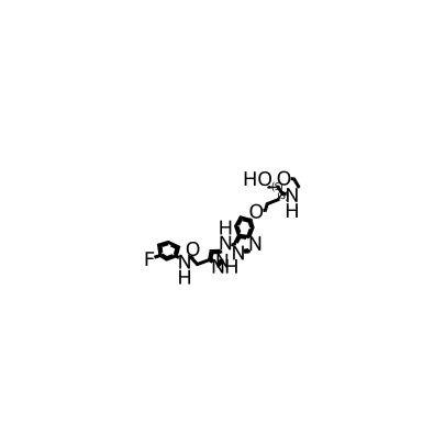 O=C(Cc1cc(Nc2ncnc3cc(OCCC[C@@H]4NCCO[C@@H]4CO)ccc23)n[nH]1)Nc1cccc(F)c1